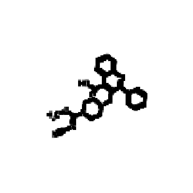 CSC(=NC#N)N1CCN(Cc2c(-c3ccccc3)nc3ccccc3c2C(=O)O)CC1